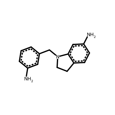 Nc1cccc(CN2CCc3ccc(N)cc32)c1